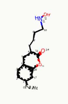 CNc1ccc2cc(CCCCNO)c(=O)oc2c1